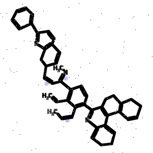 C=Cc1c(C(/C=C\C2C=Cc3ccc(-c4ccccc4)nc3C2)=N/C)ccc(-c2nc3c(c4c2CCC2=C4C=CCC2)=CCCC=3)c1/C=C\C